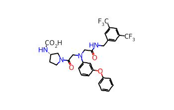 O=C(O)N[C@H]1CCN(C(=O)CN(CC(=O)NCc2cc(C(F)(F)F)cc(C(F)(F)F)c2)c2cccc(Oc3ccccc3)c2)C1